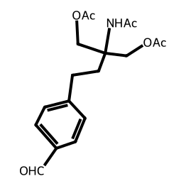 CC(=O)NC(CCc1ccc(C=O)cc1)(COC(C)=O)COC(C)=O